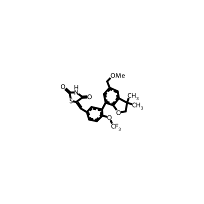 COCc1cc(-c2cc(C=C3SC(=O)NC3=O)ccc2OC(F)(F)F)c2c(c1)C(C)(C)CO2